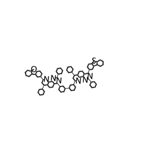 c1ccc(-c2nc(-c3cccc(-c4cccc(-c5cc(-c6ccccc6)c6ccc7c(-c8ccc9sc%10ccccc%10c9c8)nc(-c8ccccc8)nc7c6n5)c4)c3)c3ccc4c(-c5ccccc5)cc(-c5ccc6oc7ccccc7c6c5)nc4c3n2)cc1